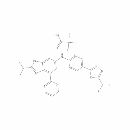 CN(C)c1nc2c(-c3ccccc3)cc(Nc3ncc(-c4nnc(C(F)F)o4)cn3)cc2[nH]1.O=C(O)C(F)(F)F